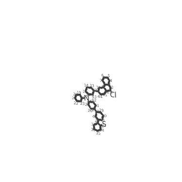 Clc1cc2ccccc2c2cc(-c3cccc(N(c4ccccc4)c4ccc(-c5ccc6sc7ccccc7c6c5)cc4)c3)ccc12